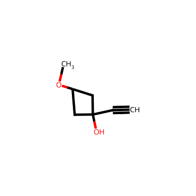 C#CC1(O)CC(OC)C1